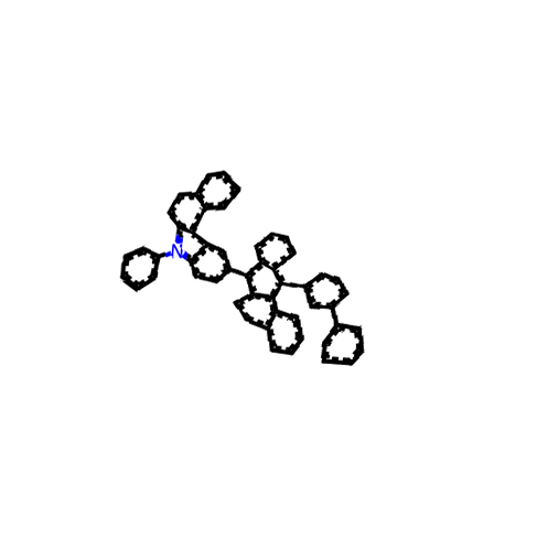 c1ccc(-c2cccc(-c3c4ccccc4c(-c4ccc5c(c4)c4c6ccccc6ccc4n5-c4ccccc4)c4ccc5ccccc5c34)c2)cc1